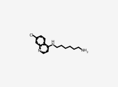 NCCCCCCNc1ccnc2cc(Cl)ccc12